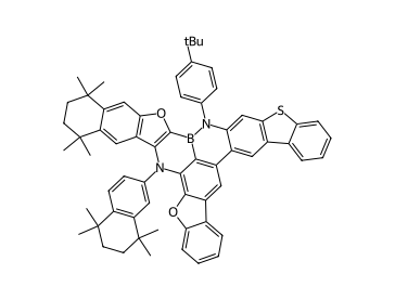 CC(C)(C)c1ccc(N2B3c4oc5cc6c(cc5c4N(c4ccc5c(c4)C(C)(C)CCC5(C)C)c4c3c(cc3c4oc4ccccc43)-c3cc4c(cc32)sc2ccccc24)C(C)(C)CCC6(C)C)cc1